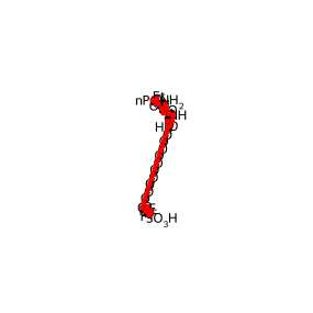 CCCN(OCC)C(=O)C1=Cc2ccc(-n3c(=O)[nH]c4cc(C(=O)NCCOCCOCCOCCOCCOCCOCCOCCOCCOCCOCCC(=O)Oc5c(F)c(F)c(S(=O)(=O)O)c(F)c5F)ccc43)cc2N=C(N)C1